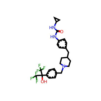 O=C(Nc1ccc(CC2CCN(Cc3ccc(C(O)(C(F)(F)F)C(F)(F)F)cc3)CC2)cc1)NC1CC1